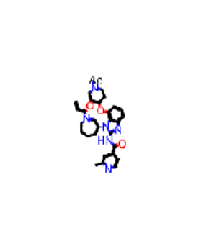 C=CC(=O)N1CCCC[C@@H](n2c(NC(=O)c3ccnc(C)c3)nc3cccc(OC4CCN(C(C)=O)CC4)c32)C1